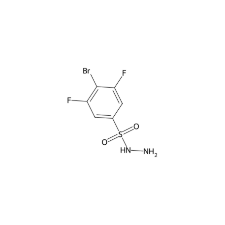 NNS(=O)(=O)c1cc(F)c(Br)c(F)c1